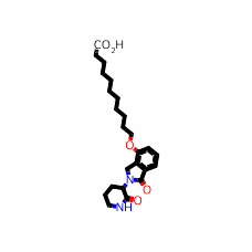 O=C(O)CCCCCCCCCCOc1cccc2c1CN(C1CCCNC1=O)C2=O